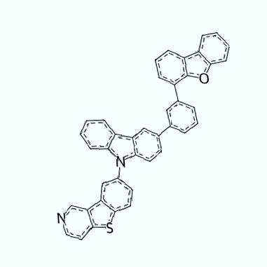 c1cc(-c2ccc3c(c2)c2ccccc2n3-c2ccc3sc4ccncc4c3c2)cc(-c2cccc3c2oc2ccccc23)c1